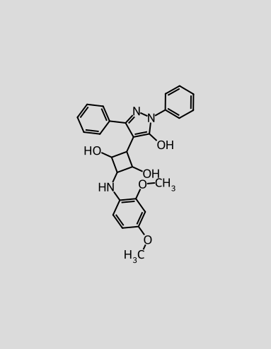 COc1ccc(NC2C(O)C(c3c(-c4ccccc4)nn(-c4ccccc4)c3O)C2O)c(OC)c1